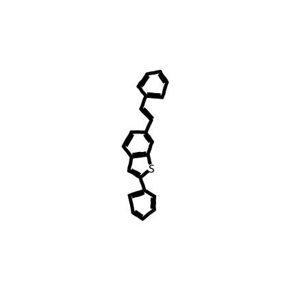 C(=C\c1ccc2cc(-c3ccccc3)sc2c1)/c1ccccc1